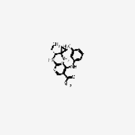 CC[C@@H](Nc1ncc(C(N)=O)c(Nc2cccc(C)c2)n1)C1(N)CC1